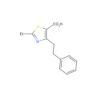 CCc1nc(CCc2ccccc2)c(C(=O)O)s1